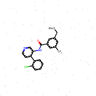 COCc1cc(C(=O)Nc2cnccc2-c2ccccc2Cl)cc(C(F)(F)F)c1